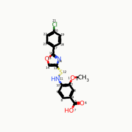 COc1cc(C(=O)O)ccc1NSc1coc(-c2ccc(Cl)cc2)n1